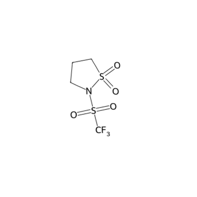 O=S1(=O)CCCN1S(=O)(=O)C(F)(F)F